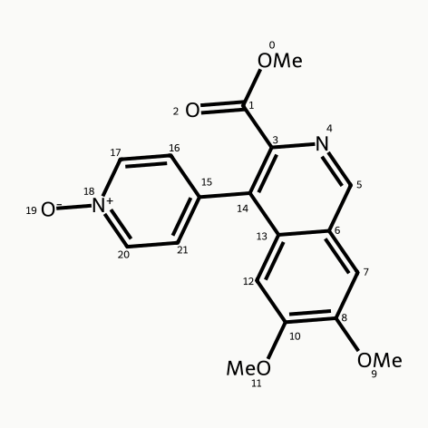 COC(=O)c1ncc2cc(OC)c(OC)cc2c1-c1cc[n+]([O-])cc1